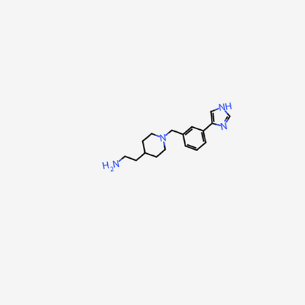 NCCC1CCN(Cc2cccc(-c3c[nH]cn3)c2)CC1